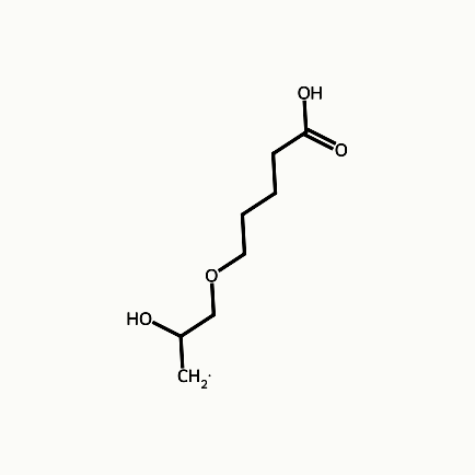 [CH2]C(O)COCCCCC(=O)O